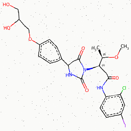 CO[C@H](C)[C@@H](C(=O)Nc1ccc(I)cc1Cl)N1C(=O)NC(c2ccc(OCC(O)CO)cc2)C1=O